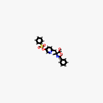 CC1(Cc2ccc(OS(=O)(=O)c3ccccc3)cn2)N=C(c2ccccc2)OC1=O